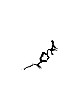 CC1OC1(C)Cc1ccc(C(=O)NCCO)cc1